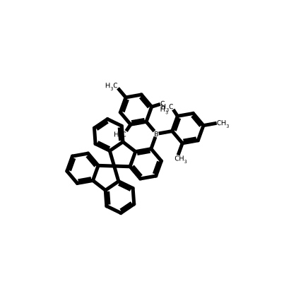 Cc1cc(C)c(B(c2cccc3c2-c2ccccc2C32c3ccccc3-c3ccccc32)c2c(C)cc(C)cc2C)c(C)c1